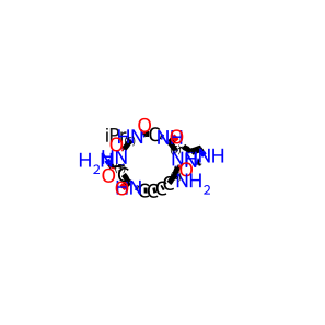 CC(C)[C@@H]1NC(=O)CNC(=O)[C@H](Cc2c[nH]cn2)NC(=O)[C@@H](N)CCCCNC(=O)C[C@@H](C(N)=O)NC1=O